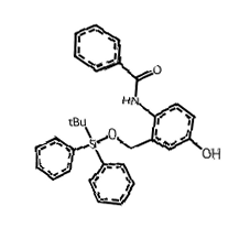 CC(C)(C)[Si](OCc1cc(O)ccc1NC(=O)c1ccccc1)(c1ccccc1)c1ccccc1